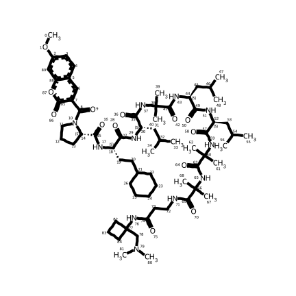 COc1ccc2cc(C(=O)N3CCC[C@H]3C(=O)N[C@@H](CCC3CCCCC3)C(=O)N[C@@H](CC(C)C)C(=O)NC(C)(C)C(=O)N[C@@H](CC(C)C)C(=O)N[C@@H](CC(C)C)C(=O)NC(C)(C)C(=O)NC(C)(C)C(=O)NCCC(=O)NC3(CN(C)C)CCC3)c(=O)oc2c1